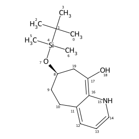 CC(C)(C)[Si](C)(C)O[C@@H]1CCC2=CC=CNC2=C(O)C1